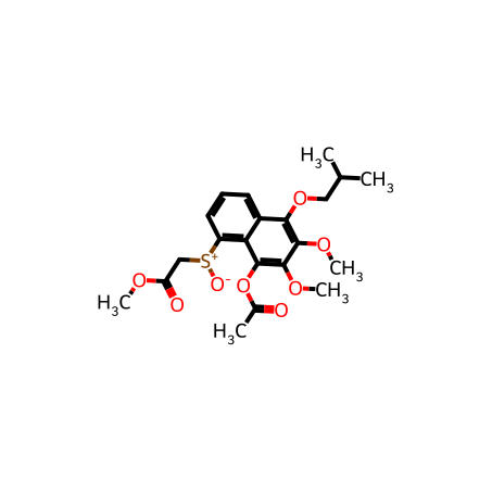 COC(=O)C[S+]([O-])c1cccc2c(OCC(C)C)c(OC)c(OC)c(OC(C)=O)c12